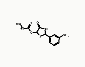 CC(C)(C)NC(=O)OC1SC(c2cccc([N+](=O)[O-])c2)NC1=O